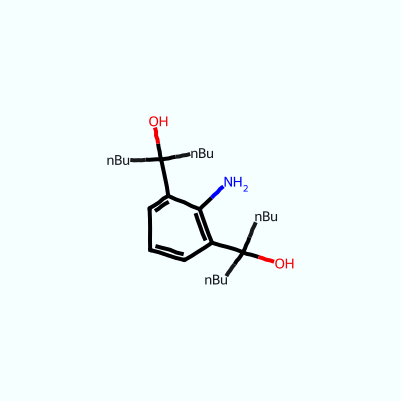 CCCCC(O)(CCCC)c1cccc(C(O)(CCCC)CCCC)c1N